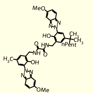 CCCCCC(C)(C)c1cc(CNC(=O)C(=O)NCc2cc(C)cc(-n3nc4ccc(OC)cc4n3)c2O)c(O)c(-n2nc3ccc(OC)cc3n2)c1